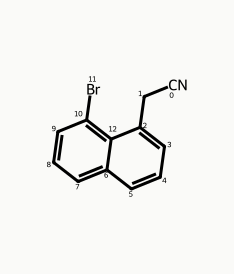 N#CCc1cccc2cccc(Br)c12